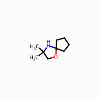 CC1(C)COC2(CCCC2)N1